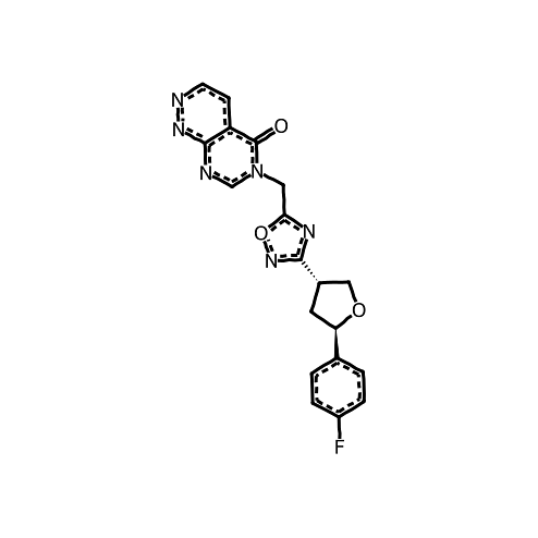 O=c1c2ccnnc2ncn1Cc1nc([C@@H]2CO[C@@H](c3ccc(F)cc3)C2)no1